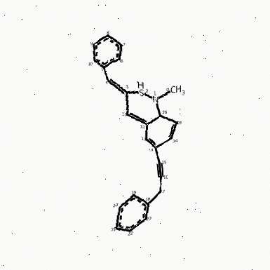 CN1[SH]/C(=C\c2ccccc2)C=C2C=C(C#CCc3ccccc3)C=CC21